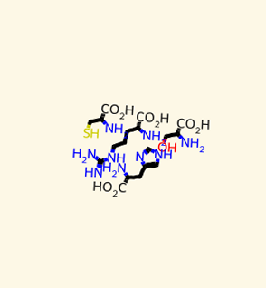 N=C(N)NCCCC(N)C(=O)O.NC(CO)C(=O)O.NC(CS)C(=O)O.NC(Cc1c[nH]cn1)C(=O)O